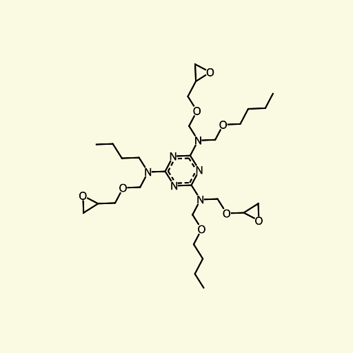 CCCCOCN(COCC1CO1)c1nc(N(CCCC)COCC2CO2)nc(N(COCCCC)COC2CO2)n1